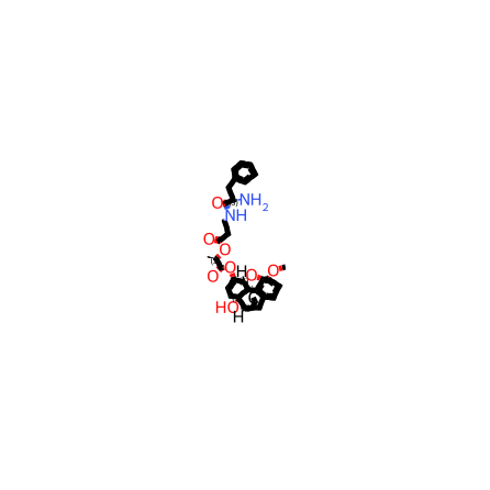 COc1ccc2c3c1O[C@@H]1C(OC(=O)[C@H](C)OC(=O)CCNC(=O)[C@@H](N)Cc4ccccc4)=CC[C@]4(O)[C@@H](CCC[C@@]314)C2